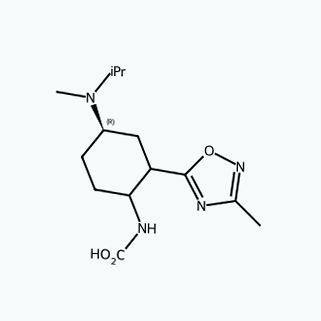 Cc1noc(C2C[C@H](N(C)C(C)C)CCC2NC(=O)O)n1